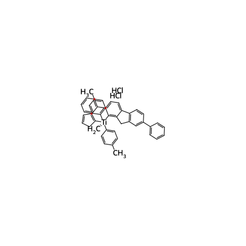 Cl.Cl.[CH2]=[Ti]([C]1=CC=CC1)([c]1ccc(C)cc1)([c]1ccc(C)cc1)[c]1c(-c2ccccc2)ccc2c1Cc1cc(-c3ccccc3)ccc1-2